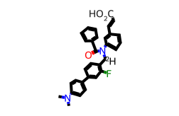 [2H]C(c1ccc(-c2ccc(N(C)C)cc2)cc1F)N(C(=O)c1ccccc1)c1cccc(/C=C/C(=O)O)c1